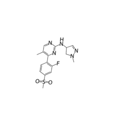 Cc1cnc(NC2C=NN(C)C2)nc1-c1ccc(S(C)(=O)=O)cc1F